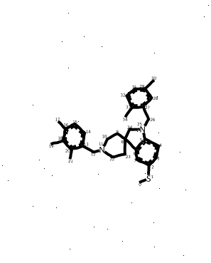 CSc1ccc2c(c1)C1(CCN(Cc3ccc(C)c(C)c3C)CC1)CN2Cc1cc(C)ccc1C